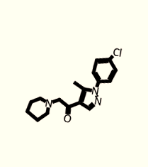 Cc1c(C(=O)CN2CCCCC2)cnn1-c1ccc(Cl)cc1